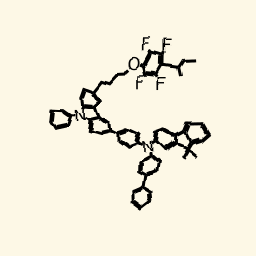 CCC(C)c1c(F)c(F)c(OCCCCc2ccc3c(c2)c2cc(-c4ccc(N(c5ccc(-c6ccccc6)cc5)c5ccc6c(c5)C(C)(C)c5ccccc5-6)cc4)ccc2n3-c2ccccc2)c(F)c1F